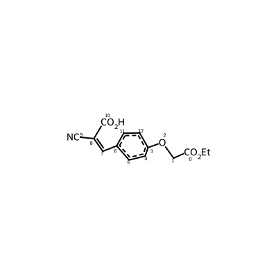 CCOC(=O)COc1ccc(C=C(C#N)C(=O)O)cc1